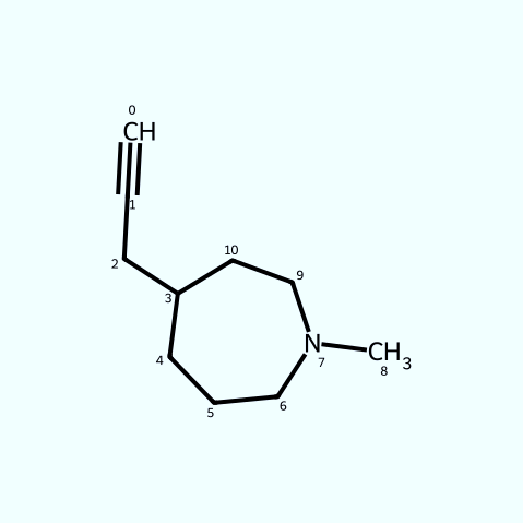 C#CCC1CCCN(C)CC1